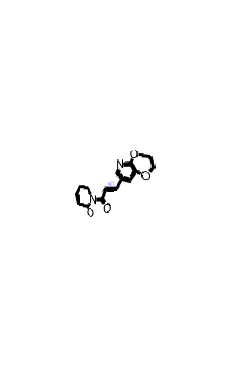 O=C1C=CCCN1C(=O)/C=C/c1cnc2c(c1)OCCO2